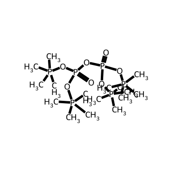 CP(C)(C)(C)OP(=O)(OP(=O)(OP(C)(C)(C)C)OP(C)(C)(C)C)OP(C)(C)(C)C